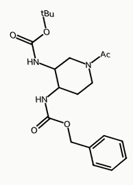 CC(=O)N1CCC(NC(=O)OCc2ccccc2)C(NC(=O)OC(C)(C)C)C1